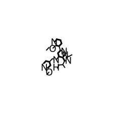 CCOc1ncccc1-c1cc(NCc2ccnc(OC)c2)c2c(C(C)CC)nc(C)n2n1